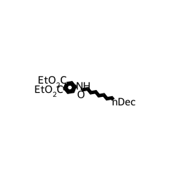 CCCCCCCCCCCCCCCCCC(=O)Nc1ccc(C(=O)OCC)c(C(=O)OCC)c1